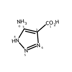 N.O=C(O)c1c[nH]nn1